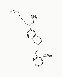 COc1cccnc1CC[C@H]1CCc2cc([C@H](CN)CCCCO)ccc2C1